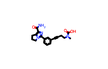 CN(CCC#Cc1cccc(-c2nc(C(N)=O)c3n2CCC3)c1)C(=O)O